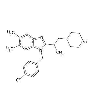 Cc1cc2nc(C(C)CC3CCNCC3)n(Cc3ccc(Cl)cc3)c2cc1C